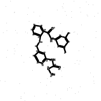 Cc1cc(C)cc(NC(=O)c2ccccc2SCc2ccnc(NC(=O)OC(C)(C)C)c2)c1